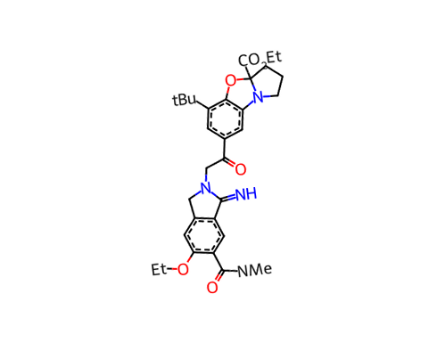 CCOC(=O)C12CCCN1c1cc(C(=O)CN3Cc4cc(OCC)c(C(=O)NC)cc4C3=N)cc(C(C)(C)C)c1O2